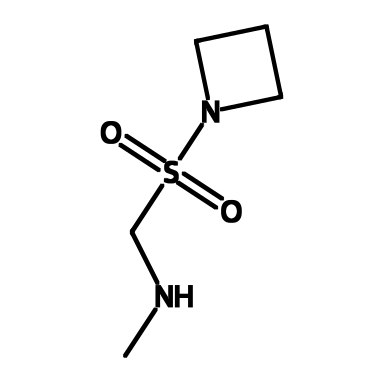 CNCS(=O)(=O)N1CCC1